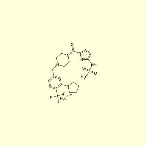 C[C@H]1CCCN1c1cc(CN2CCN(C(=O)n3ccc(NS(C)(=O)=O)n3)CC2)ccc1C(F)(F)F